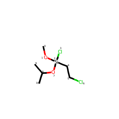 CO[Si](Cl)(CCCl)OC(C)C